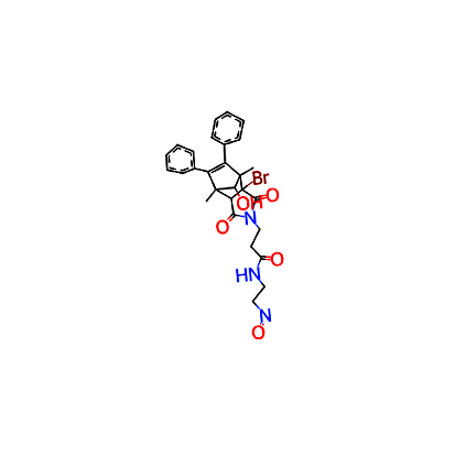 CC12C(c3ccccc3)=C(c3ccccc3)C(C)(C1O)C1(Br)C(=O)N(CCC(=O)NCCN=O)C(=O)C21